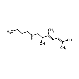 CCCCNCC(O)/C(C)=C/C=C(\C)O